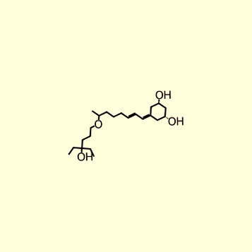 CCC(O)(CC)CCCOC(C)CCCC=CC=C1C[C@@H](O)C[C@H](O)C1